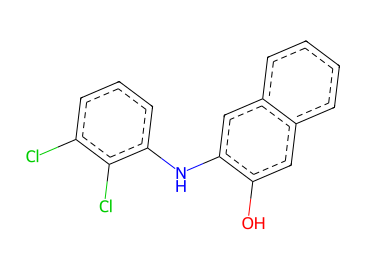 Oc1cc2ccccc2cc1Nc1cccc(Cl)c1Cl